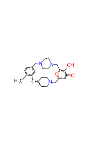 Cc1ccc(CN2CCN(Cc3oc(CN4CCCCC4)cc(=O)c3O)CC2)cc1C